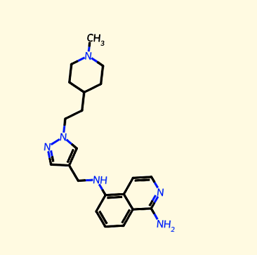 CN1CCC(CCn2cc(CNc3cccc4c(N)nccc34)cn2)CC1